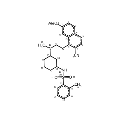 COc1ccc2ncc(C#N)c(CCN(C)C3CCCC(NS(=O)(=O)c4ccccc4C)C3)c2c1